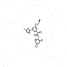 C#CCOc1cc(C(=O)NCc2ncc(Cl)cc2F)cc(-c2ncc(C)s2)c1